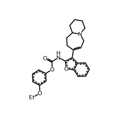 CCOc1cccc(OC(=O)Nc2oc3ccccc3c2C2=CCN3CCCCC3CC2)c1